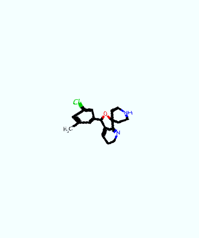 Cc1cc(Cl)cc(C2OC3(CCNCC3)C3=NCCC=C32)c1